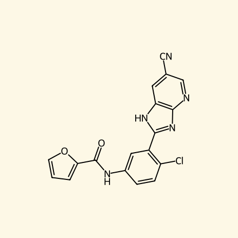 N#Cc1cnc2nc(-c3cc(NC(=O)c4ccco4)ccc3Cl)[nH]c2c1